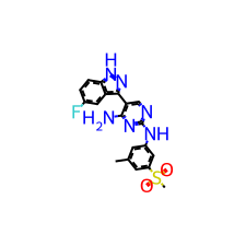 Cc1cc(Nc2ncc(-c3n[nH]c4ccc(F)cc34)c(N)n2)cc(S(C)(=O)=O)c1